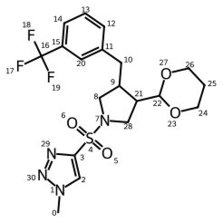 Cn1cc(S(=O)(=O)N2CC(Cc3cccc(C(F)(F)F)c3)C(C3OCCCO3)C2)nn1